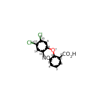 O=C(O)c1ccccc1Oc1cc(Cl)c(Cl)cc1[N+](=O)[O-]